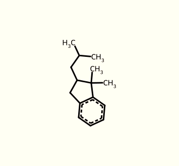 CC(C)CC1Cc2ccccc2C1(C)C